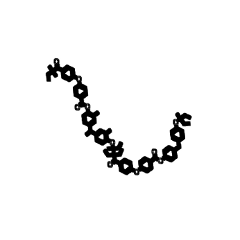 CCC(C)(CC)Oc1ccc(Cc2ccc(OC(=O)c3ccc(Oc4ccc(C(=O)C(CC)(CC)C(C)(CC)Oc5ccc(C(C)c6ccc(OC(=O)c7ccc(Oc8ccc(C(=O)C(C)(C)CC)cc8)cc7)c(C)c6)cc5C)cc4)cc3)cc2)cc1